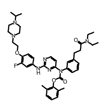 CCN(CC)C(=O)CCc1cccc(N(C(=O)Oc2c(C)cccc2C)c2ccnc(Nc3ccc(OCCN4CCN(C(C)C)CC4)c(F)c3)n2)c1